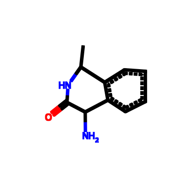 CC1NC(=O)C(N)c2ccccc21